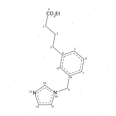 CCOC(=O)CCCc1cccc(Cn2ccnc2)c1